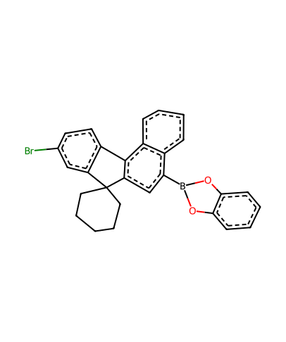 Brc1ccc2c(c1)C1(CCCCC1)c1cc(B3Oc4ccccc4O3)c3ccccc3c1-2